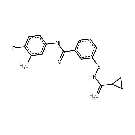 C=C(NSc1cccc(C(=O)Nc2ccc(F)c(C)c2)c1)C1CC1